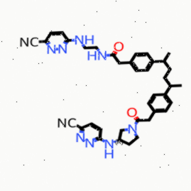 CC(CCC(C)c1ccc(CC(=O)N2CC[C@@H](Nc3ccc(C#N)nn3)C2)cc1)c1ccc(CC(=O)NCCNc2ccc(C#N)nn2)cc1